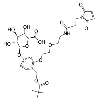 CC(C)(C)C(=O)OCc1ccc(O[C@@H]2O[C@H](C(=O)O)[C@@H](O)[C@H](O)[C@H]2O)cc1OCCOCCNC(=O)CCN1C(=O)C=CC1=O